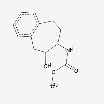 CC(C)(C)OC(=O)NC1CCc2ccccc2CC1O